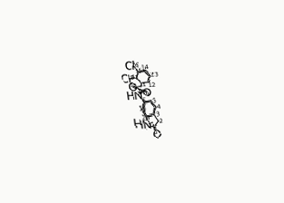 O=C1Cc2ccc(NS(=O)(=O)c3cccc(Cl)c3Cl)cc2N1